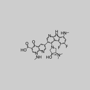 CNc1cc(F)c(F)c2c1[nH]c1ncc(-c3cnc4c(c3)c(=O)c(C(=O)O)cn4NC)c(N3C[C@@H](N(C)C)[C@@H](O)C3)c12